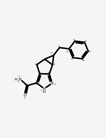 NC(=O)c1[nH]nc2c1CC1C(Cc3ccccc3)C21